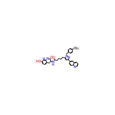 CC(C)(C)c1ccc(Cn2nc(-c3ccc4ncccc4c3)cc2CCCCC(=O)N[C@@H](Cc2ccc(O)cc2)C(N)=O)cc1